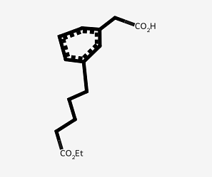 CCOC(=O)CCCCc1cccc(CC(=O)O)c1